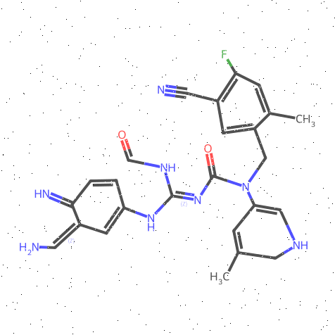 CC1=CC(N(Cc2cc(C#N)c(F)cc2C)C(=O)/N=C(\NC=O)NC2=C/C(=C/N)C(=N)C=C2)=CNC1